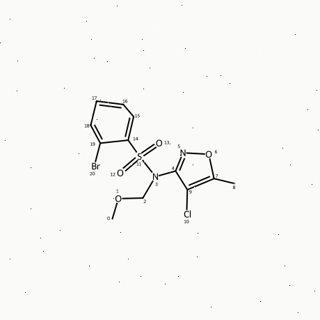 COCN(c1noc(C)c1Cl)S(=O)(=O)c1ccccc1Br